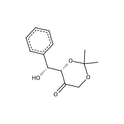 CC1(C)OCC(=O)[C@H]([C@H](O)c2ccccc2)O1